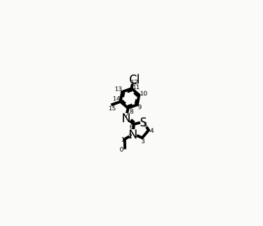 CCN1CCSC1=Nc1ccc(Cl)cc1C